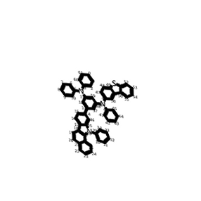 c1ccc(N(c2ccccc2)c2cc(-c3ccc4c5ccc6ccccc6c5n(-c5ccccc5)c4c3)cc(N(c3ccccc3)c3ccc4sc5ccccc5c4c3)c2)cc1